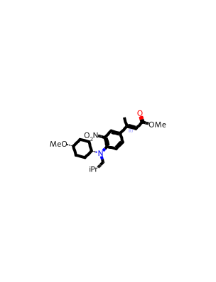 COC(=O)/C=C(\C)c1ccc(N(CC(C)C)[C@H]2CC[C@@H](OC)CC2)c([N+](=O)[O-])c1